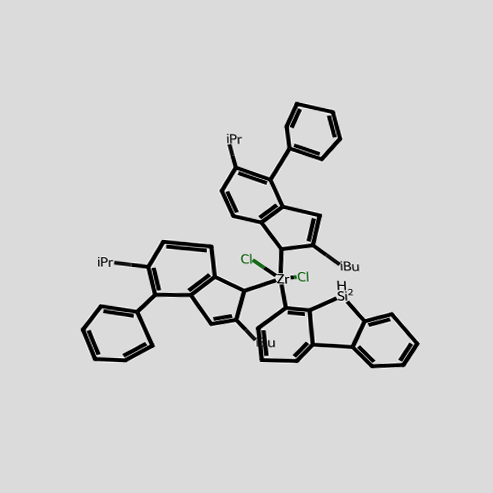 CCC(C)C1=Cc2c(ccc(C(C)C)c2-c2ccccc2)[CH]1[Zr]([Cl])([Cl])([c]1cccc2c1[SiH2]c1ccccc1-2)[CH]1C(C(C)CC)=Cc2c1ccc(C(C)C)c2-c1ccccc1